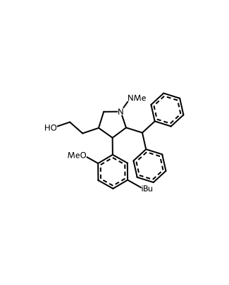 CCC(C)c1ccc(OC)c(C2C(CCO)CN(NC)C2C(c2ccccc2)c2ccccc2)c1